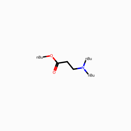 CCCCOC(=O)CCN(CCCC)CCCC